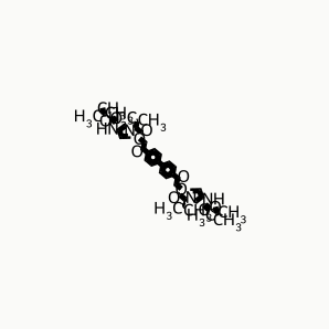 CC(C)C(C(=O)OCC(=O)c1ccc(-c2ccc(C(=O)COC(=O)[C@H](C(C)C)N3CC[C@H](NC(=O)OC(C)(C)C)C3)cc2)cc1)N1CC[C@H](NC(=O)OC(C)(C)C)C1